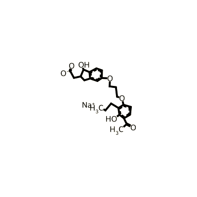 CCCc1c(OCCCOc2ccc3c(c2)CC(CC(=O)[O-])C3O)ccc(C(C)=O)c1O.[Na+]